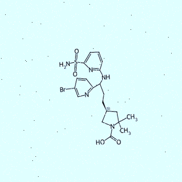 CC1(C)C[C@H](CCC(Nc2cccc(S(N)(=O)=O)n2)c2ccc(Br)cn2)CN1C(=O)O